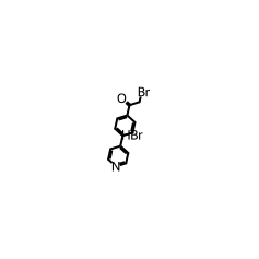 Br.O=C(CBr)c1ccc(-c2ccncc2)cc1